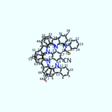 Cc1ccc2c(c1)c1ccccc1n2-c1c(C#N)c(-c2nc3ccccc3s2)c(-n2c3ccccc3c3cc(C)ccc32)c(-n2c3ccccc3c3cc(C)ccc32)c1-n1c2ccccc2c2cc(C)ccc21